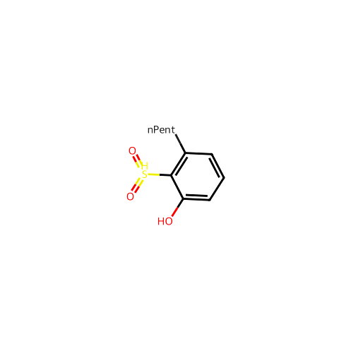 CCCCCc1cccc(O)c1[SH](=O)=O